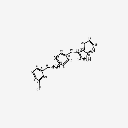 Fc1cccc(CNc2ccc(Cc3c[nH]c4ncccc34)cn2)c1